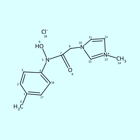 Cc1ccc(N(O)C(=O)Cn2cc[n+](C)c2)cc1.[Cl-]